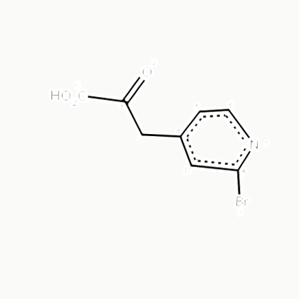 O=C(O)C(=O)Cc1ccnc(Br)c1